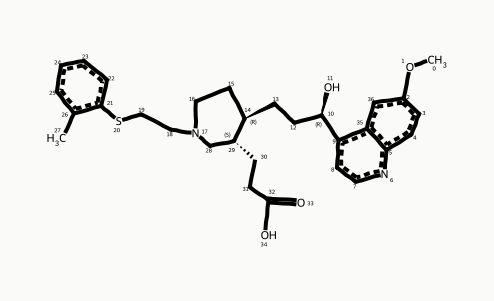 COc1ccc2nccc([C@H](O)CC[C@@H]3CCN(CCSc4ccccc4C)C[C@H]3CCC(=O)O)c2c1